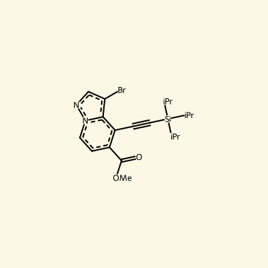 COC(=O)c1ccn2ncc(Br)c2c1C#C[Si](C(C)C)(C(C)C)C(C)C